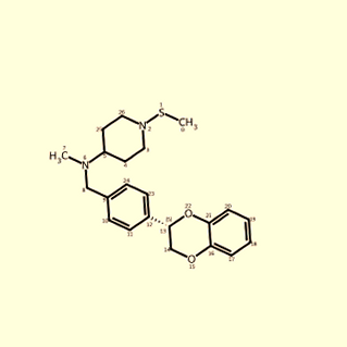 CSN1CCC(N(C)Cc2ccc([C@H]3COc4ccccc4O3)cc2)CC1